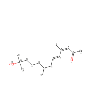 CCC(=O)C=C(C)C=CCC(C)CCCC(C)(O)CC